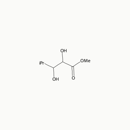 COC(=O)C(O)C(O)C(C)C